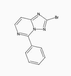 Brc1nc2ccnc(-c3ccccc3)n2n1